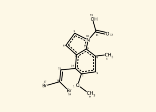 COc1cc(C)c2c(ccn2C(=O)O)c1C=C(Br)Br